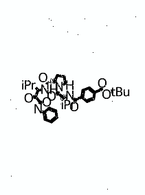 CC(C)C(NC(=O)[C@@H]1CCCN1C(=O)[C@@H](NC(=O)c1ccc(C(=O)OC(C)(C)C)cc1)C(C)C)C(=O)c1nc2ccccc2o1